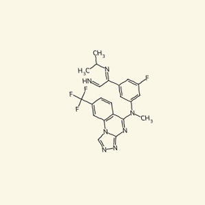 CC(C)/N=C(\C=N)c1cc(F)cc(N(C)c2nc3nncn3c3cc(C(F)(F)F)ccc23)c1